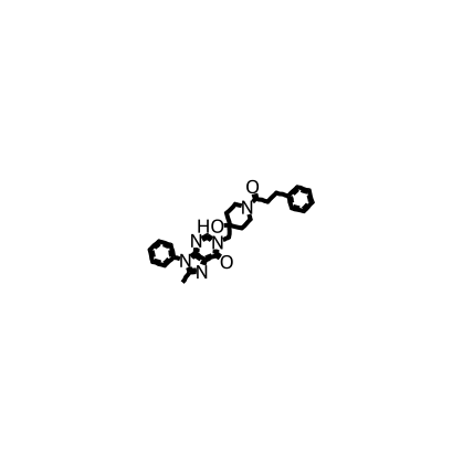 Cc1nc2c(=O)n(CC3(O)CCN(C(=O)CCc4ccccc4)CC3)cnc2n1-c1ccccc1